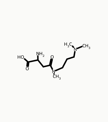 CN(C)CCCN(C)C(=O)CC(N)C(=O)O